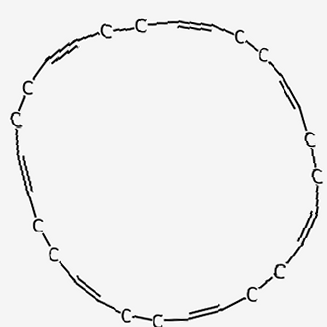 C1=CCCC=CCCC=CCCC=CCCC=CCCC=CCCC=CCC1